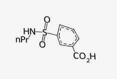 CCCNS(=O)(=O)c1cccc(C(=O)O)c1